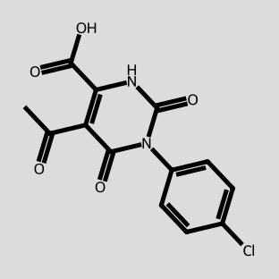 CC(=O)c1c(C(=O)O)[nH]c(=O)n(-c2ccc(Cl)cc2)c1=O